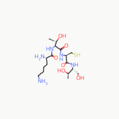 C[C@@H](O)[C@H](NC(=O)[C@@H](N)CCCCN)C(=O)N[C@@H](CS)C(=O)N[C@H](CO)[C@@H](C)O